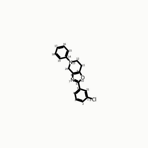 Clc1cccc(-c2nc3c(o2)CCN(c2ccccc2)C3)c1